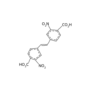 O=C(O)c1ccc(C=Cc2ccc(C(=O)O)c([N+](=O)[O-])c2)cc1[N+](=O)[O-]